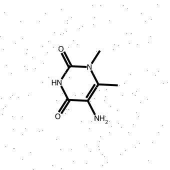 Cc1c(N)c(=O)[nH]c(=O)n1C